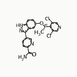 C[C@@H](Oc1ccc2[nH]nc(-c3ccc(C(N)=O)nc3)c2c1)c1c(Cl)cncc1Cl